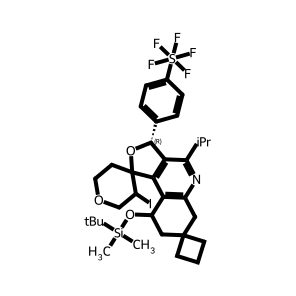 CC(C)c1nc2c(c3c1[C@@H](c1ccc(S(F)(F)(F)(F)F)cc1)OC31CCOCC1I)C(O[Si](C)(C)C(C)(C)C)CC1(CCC1)C2